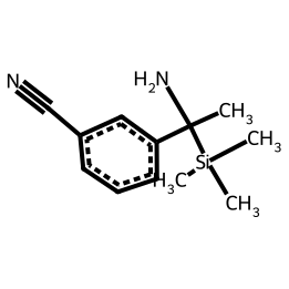 CC(N)(c1cccc(C#N)c1)[Si](C)(C)C